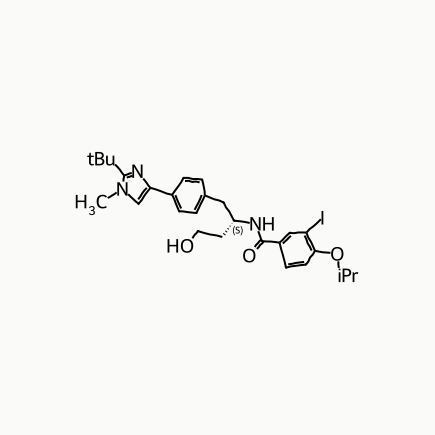 CC(C)Oc1ccc(C(=O)N[C@H](CCO)Cc2ccc(-c3cn(C)c(C(C)(C)C)n3)cc2)cc1I